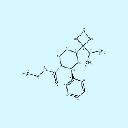 CCOC(=O)[C@@H]1CCN(C2(C(C)C)COC2)C[C@H]1c1ccccc1